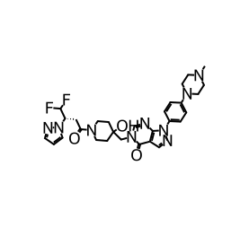 CN1CCN(c2ccc(-n3ncc4c(=O)n(CC5(O)CCN(C(=O)C[C@@H](C(F)F)n6cccn6)CC5)cnc43)cc2)CC1